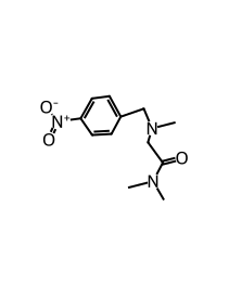 CN(CC(=O)N(C)C)Cc1ccc([N+](=O)[O-])cc1